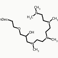 CCCCCCCCCCCCOCC(O)CN(C)CCN(C)CCN(C)CCN(C)C